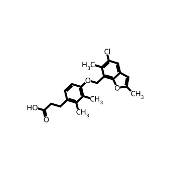 Cc1cc2cc(Cl)c(C)c(COc3ccc(CCC(=O)O)c(C)c3C)c2o1